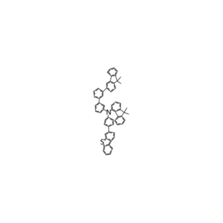 CC1(C)c2ccccc2-c2cc(-c3cccc(-c4cccc(N(c5ccc(-c6ccc7c(c6)sc6ccccc67)cc5)c5cccc6c5-c5ccccc5C6(C)C)c4)c3)ccc21